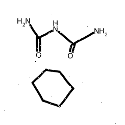 C1CCCCC1.NC(=O)NC(N)=O